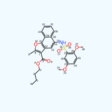 CCCCOC(=O)c1c(C)oc2c1cc(NS(=O)(=O)c1cc(OC)ccc1OC)c1ccccc12